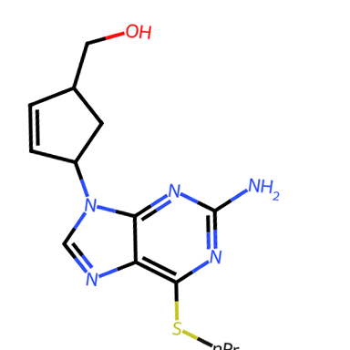 CCCSc1nc(N)nc2c1ncn2C1C=CC(CO)C1